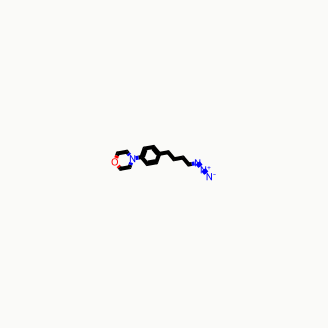 [N-]=[N+]=NCCCCc1ccc(N2CCOCC2)cc1